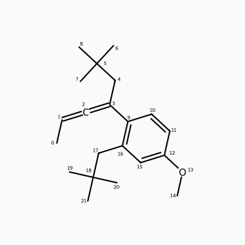 CC=C=C(CC(C)(C)C)c1ccc(OC)cc1CC(C)(C)C